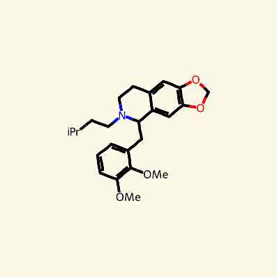 COc1cccc(CC2c3cc4c(cc3CCN2CCC(C)C)OCO4)c1OC